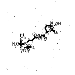 CC(C)(C)N(CCC(=O)NNC(=O)[C@@H]1CC[C@@H]2CN1C(=O)N2O)C(=O)O